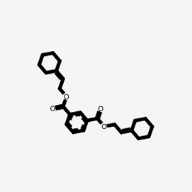 O=C(OCC=C1CCCCC1)c1cccc(C(=O)OCC=C2CCCCC2)c1